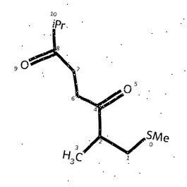 CSCC(C)C(=O)CCC(=O)C(C)C